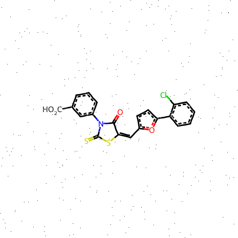 O=C(O)c1cccc(N2C(=O)/C(=C\c3ccc(-c4ccccc4Cl)o3)SC2=S)c1